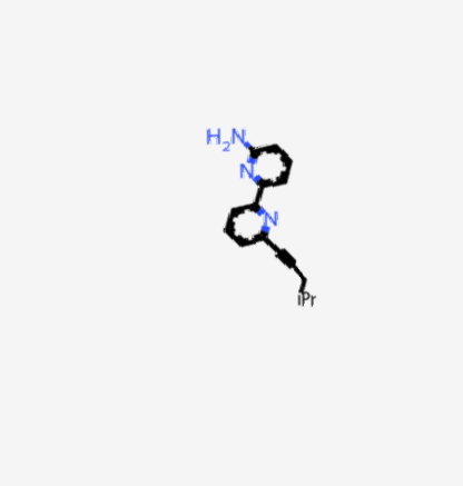 CC(C)CC#Cc1cccc(-c2cccc(N)n2)n1